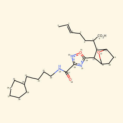 CC=CCCC(C(=O)O)C1C2CCC(O2)C1c1nc(C(=O)NCCCCC2CCCCC2)no1